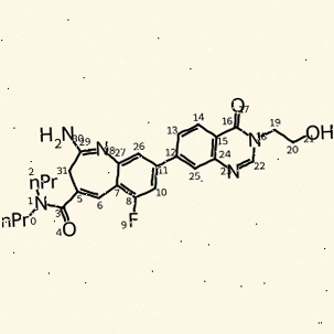 CCCN(CCC)C(=O)C1=Cc2c(F)cc(-c3ccc4c(=O)n(CCO)cnc4c3)cc2N=C(N)C1